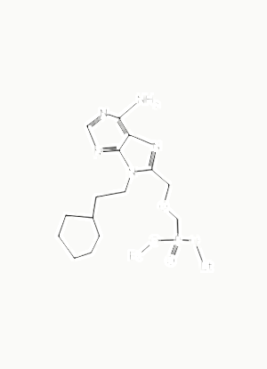 CCOP(=O)(COCc1nc2c(N)ncnc2n1CCC1CCCCC1)OCC